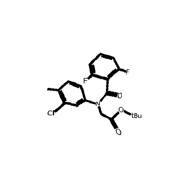 Cc1ccc(N(CC(=O)OC(C)(C)C)C(=O)c2c(F)cccc2F)cc1Cl